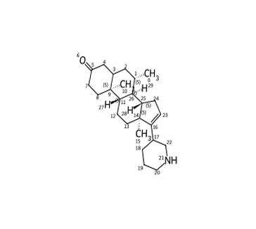 C[C@H]1CC2CC(=O)CC[C@]2(C)[C@H]2CC[C@]3(C)C(C4CCCNC4)=CC[C@H]3[C@H]12